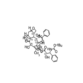 CC(=O)O[C@@]12CO[C@@H]1C[C@H](O)[C@@]1(C)C(=O)[C@H](O)C3=C(C)[C@@H](OC(=O)[C@@H](O)C(NC(=O)OC(C)(C)C)c4ccccc4)C[C@@](O)([C@@H](OC(=O)c4ccccc4)C12)C3(C)C